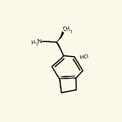 C[C@H](N)c1ccc2c(c1)CC2.Cl